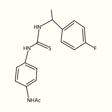 CC(=O)Nc1ccc(NC(=S)NC(C)c2ccc(F)cc2)cc1